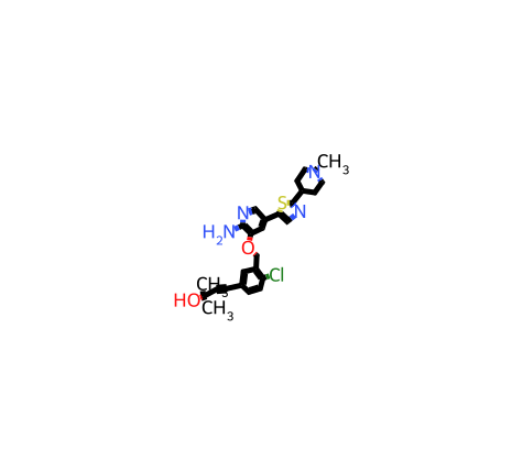 CN1CCC(c2ncc(-c3cnc(N)c(OCc4cc(C#CC(C)(C)O)ccc4Cl)c3)s2)CC1